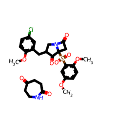 COc1ccc(OC)c(S(=O)(=O)C23CC(=O)N2CC(Cc2cc(Cl)ccc2OC)C3=O)c1.O=C1CCNC(=O)CC1